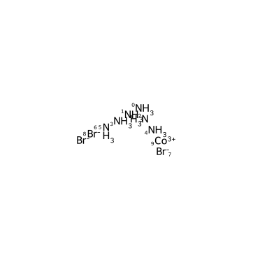 N.N.N.N.N.N.[Br-].[Br-].[Br-].[Co+3]